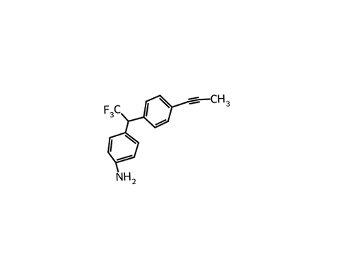 CC#Cc1ccc(C(c2ccc(N)cc2)C(F)(F)F)cc1